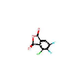 O=C1OC(=O)c2c1cc(F)c(F)c2Cl